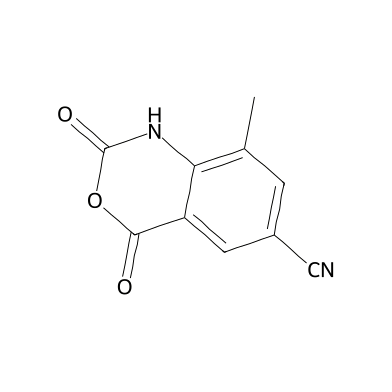 Cc1cc(C#N)cc2c(=O)oc(=O)[nH]c12